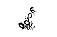 O=C(O)N[C@@H]1c2nccnc2C(CC(=O)N2CCC(n3c(=O)[nH]c4ncccc43)CC2)=CC[C@H]1c1cccc(F)c1F